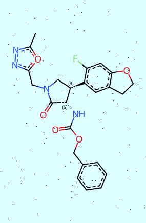 Cc1nnc(CN2C[C@@H](c3cc4c(cc3F)OCC4)[C@H](NC(=O)OCc3ccccc3)C2=O)o1